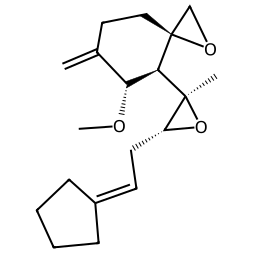 C=C1CC[C@]2(CO2)[C@@H]([C@@]2(C)O[C@@H]2CC=C2CCCC2)[C@@H]1OC